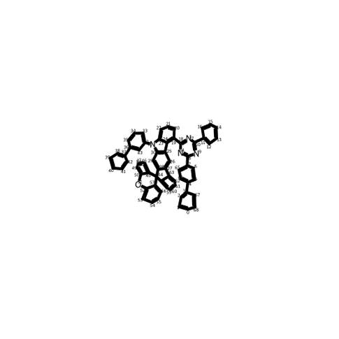 c1ccc(-c2ccc(-c3nc(-c4ccccc4)nc(-c4cccc5c4c4cc6c(cc4n5-c4cccc(-c5ccccc5)c4)C4(c5ccccc5Oc5ccccc54)c4ccccc4-6)n3)cc2)cc1